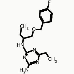 CCc1nc(N)nc(NC(CC)COCc2ccc(F)cc2)n1